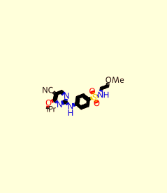 COCCNS(=O)(=O)c1ccc(Nc2ncc(C#N)c(OC(C)C)n2)cc1